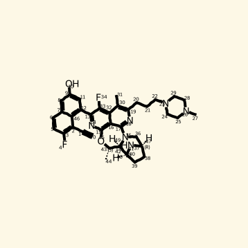 C#Cc1c(F)ccc2cc(O)cc(-c3nc4c5c(nc(CCCN6CCN(C)CC6)c(C)c5c3F)N3C[C@H]5CC[C@H](N5)[C@H]3[C@H](C)O4)c12